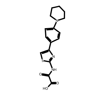 O=C(O)C(=O)Nc1nc(-c2ccc(N3CCCCC3)cc2)cs1